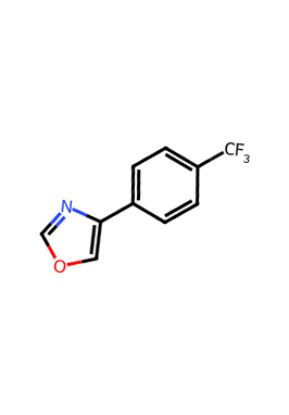 FC(F)(F)c1ccc(-c2cocn2)cc1